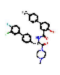 CN1CCN(C(=O)[C@H](Cc2ccc(-c3ccc(F)c(Cl)c3)cc2)NC(=O)c2cc(-c3ccc(C(F)(F)F)cc3)ccc2O)CC1